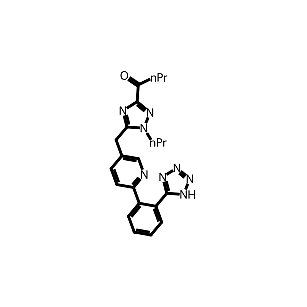 CCCC(=O)c1nc(Cc2ccc(-c3ccccc3-c3nnn[nH]3)nc2)n(CCC)n1